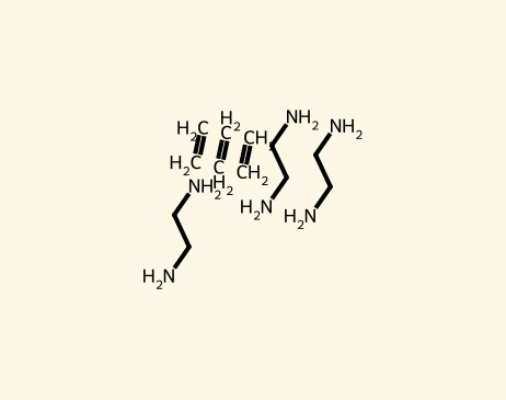 C=C.C=C.C=C.NCCN.NCCN.NCCN